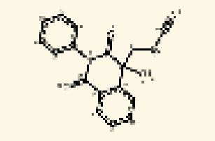 CC1(C[Se]C#N)C(=O)N(c2ccccc2)C(=O)c2ccccc21